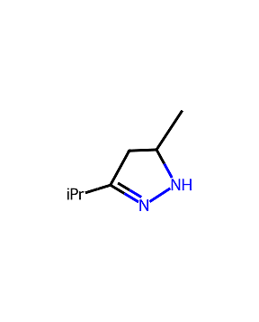 CC1CC(C(C)C)=NN1